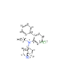 Cl.O=C(O)N(c1ccccc1-c1ccccc1)C12CCN(CC1)CC2